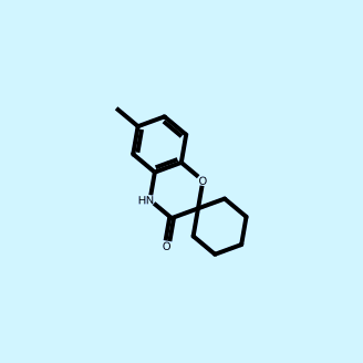 Cc1ccc2c(c1)NC(=O)C1(CCCCC1)O2